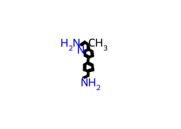 Cc1cc(N)nc2cc(-c3ccc(CCN)cc3)ccc12